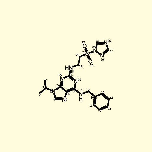 CC(C)n1cnc2c(NCc3ccccc3)nc(NCCS(=O)(=O)n3cncn3)nc21